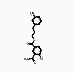 NC(=O)c1cc(C(=O)NCCCc2cccc(N)c2)ccc1Cl